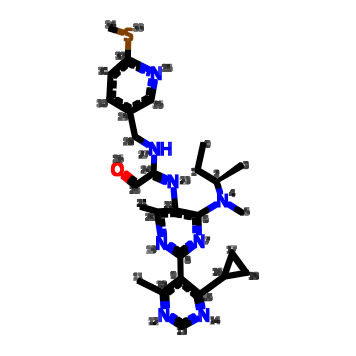 CC[C@@H](C)N(C)c1nc(-c2c(C)ncnc2C2CC2)nc(C)c1/N=C(\C=O)NCc1ccc(SC)nc1